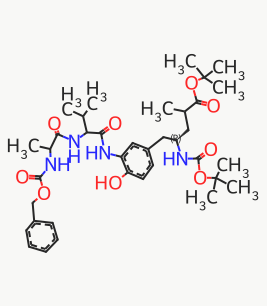 CC(C[C@H](Cc1ccc(O)c(NC(=O)C(NC(=O)C(C)NC(=O)OCc2ccccc2)C(C)C)c1)NC(=O)OC(C)(C)C)C(=O)OC(C)(C)C